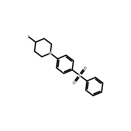 O=S(=O)(c1ccccc1)c1ccc(N2CCC(I)CC2)cc1